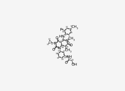 Cc1ccc(Nc2c3c(=O)n(C4CC4)c(=O)n(-c4cccc(NC(=O)CO)c4)c3c(C)c(=O)n2C)c(F)c1